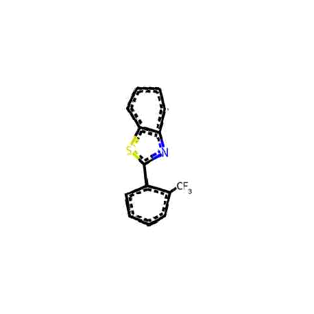 FC(F)(F)c1ccccc1-c1nc2[c]cccc2s1